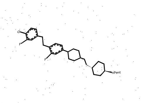 CCCCC[C@H]1CC[C@H](CCC2CCC(c3ccc(CCc4ccc(Cl)c(F)c4)c(F)c3)CC2)CC1